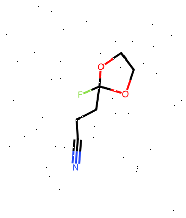 N#CCCC1(F)OCCO1